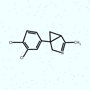 CC1=NCC2(c3ccc(Cl)c(Cl)c3)CC12